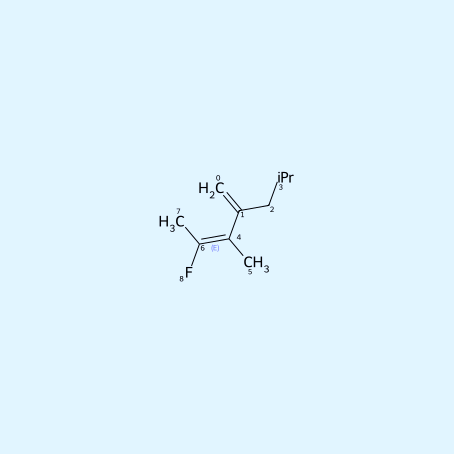 C=C(CC(C)C)/C(C)=C(\C)F